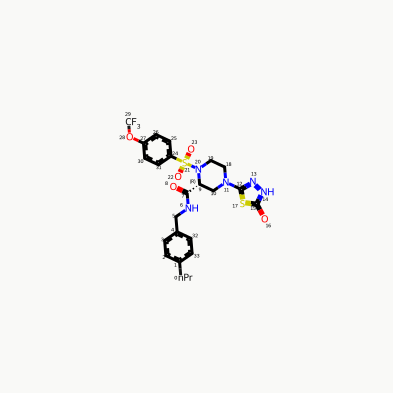 CCCc1ccc(CNC(=O)[C@H]2CN(c3n[nH]c(=O)s3)CCN2S(=O)(=O)c2ccc(OC(F)(F)F)cc2)cc1